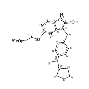 COCCOc1ncc2[nH]c(=O)n(Cc3ccc(C(C)N4CCCC4)cc3)c2n1